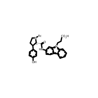 CC(=O)N1CCC(c2ccc(O)cc2)[C@H]1C(=O)Nc1ccc2c3ccccc3n(CCC(=O)O)c2c1